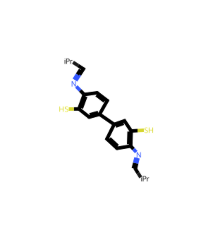 CC(C)C=Nc1ccc(-c2ccc(N=CC(C)C)c(S)c2)cc1S